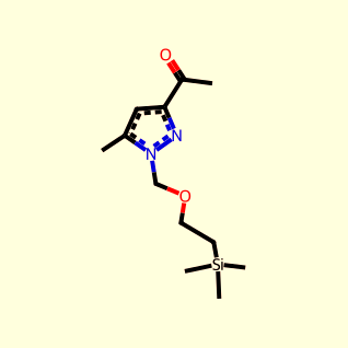 CC(=O)c1cc(C)n(COCC[Si](C)(C)C)n1